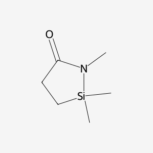 CN1C(=O)CC[Si]1(C)C